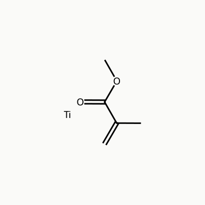 C=C(C)C(=O)OC.[Ti]